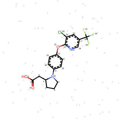 O=C(O)CC1CCCN1c1ccc(Oc2ncc(C(F)(F)F)cc2Cl)cc1